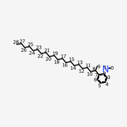 C=Nc1ccccc1C(C)CCCCCCCCCCCCCCCCCCC